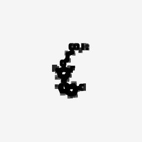 CCOC(=O)CCCOc1c(F)cc(-n2ccc3ccc(Cl)cc32)cc1F